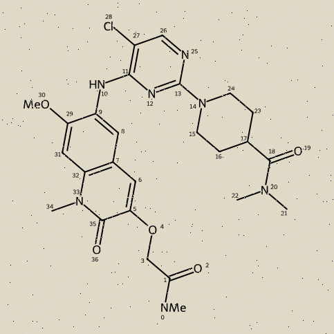 CNC(=O)COc1cc2cc(Nc3nc(N4CCC(C(=O)N(C)C)CC4)ncc3Cl)c(OC)cc2n(C)c1=O